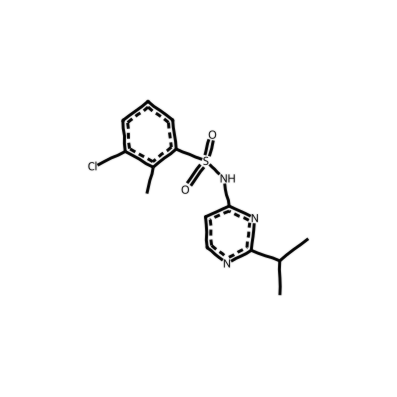 Cc1c(Cl)cccc1S(=O)(=O)Nc1ccnc(C(C)C)n1